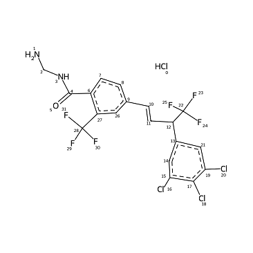 Cl.NCNC(=O)c1ccc(/C=C/C(c2cc(Cl)c(Cl)c(Cl)c2)C(F)(F)F)cc1C(F)(F)F